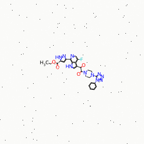 CCOC(=O)c1cc(-c2ncc(F)c3c(C(=O)C(=O)N4CCN(c5nnnn5-c5ccccc5)CC4)c[nH]c23)n[nH]1